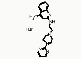 Br.Cc1cc(NCCN2CCN(c3ncccn3)CC2)nc2ccccc12